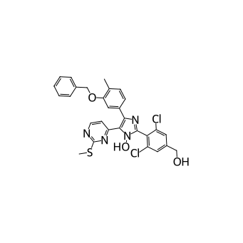 CSc1nccc(-c2c(-c3ccc(C)c(OCc4ccccc4)c3)nc(-c3c(Cl)cc(CO)cc3Cl)n2O)n1